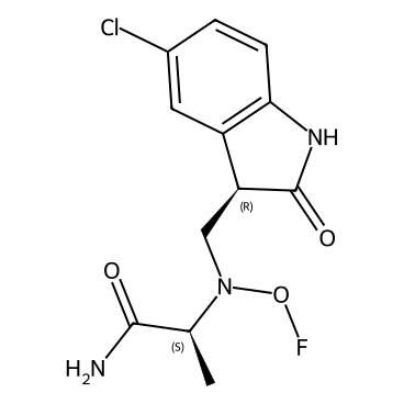 C[C@@H](C(N)=O)N(C[C@@H]1C(=O)Nc2ccc(Cl)cc21)OF